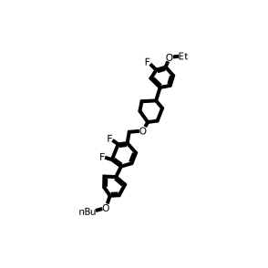 CCCCOc1ccc(-c2ccc(COC3CCC(c4ccc(OCC)c(F)c4)CC3)c(F)c2F)cc1